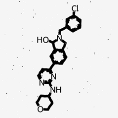 OC1c2cc(-c3ccnc(NC4CCOCC4)n3)ccc2CN1Cc1cccc(Cl)c1